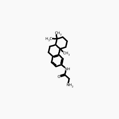 CC1(C)CCCC2(C)c3cc(NC(=O)CN)ccc3CCC12